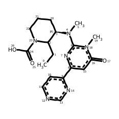 CCC1[C@H](N(C)c2nc(-c3ccncn3)cc(=O)n2C)CCCN1C(=O)O